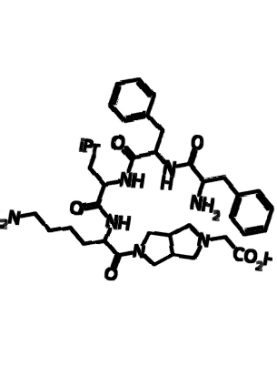 CC(C)CC(NC(=O)C(Cc1ccccc1)NC(=O)C(N)Cc1ccccc1)C(=O)NC(CCCCN)C(=O)N1CC2CN(CC(=O)O)CC2C1